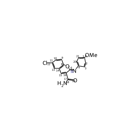 COc1ccc(/N=c2\oc3ccc(Cl)cc3cc2C(N)=O)cc1